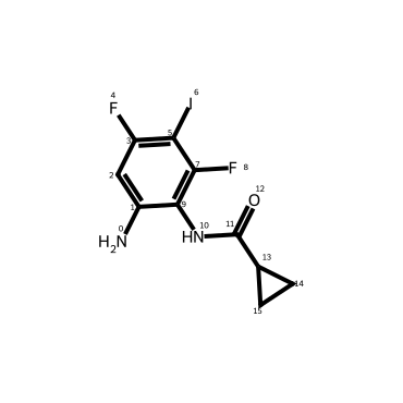 Nc1cc(F)c(I)c(F)c1NC(=O)C1CC1